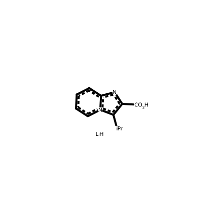 CC(C)c1c(C(=O)O)nc2ccccn12.[LiH]